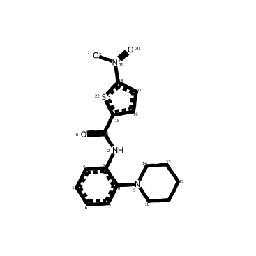 O=C(Nc1ccccc1N1CCCCC1)c1ccc([N+](=O)[O-])s1